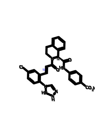 O=C(O)c1ccc(NC(=O)[C@@H]2c3ccccc3CCN2C(=O)/C=C/c2cc(Cl)ccc2N2C=NNN2)cc1